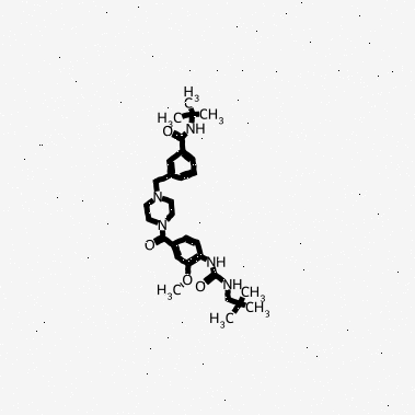 COc1cc(C(=O)N2CCN(Cc3cccc(C(=O)NC(C)(C)C)c3)CC2)ccc1NC(=O)NCC(C)(C)C